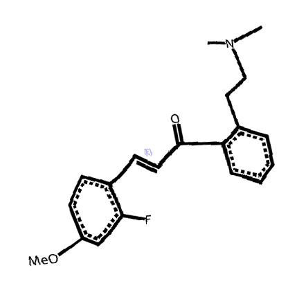 COc1ccc(/C=C/C(=O)c2ccccc2CCN(C)C)c(F)c1